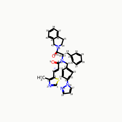 Cc1ncsc1/C=C/C(=O)N(Cc1ccc(-n2cccn2)cc1)[C@@H](Cc1ccccc1)C(=O)N1CCc2ccccc2C1